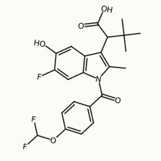 Cc1c(C(C(=O)O)C(C)(C)C)c2cc(O)c(F)cc2n1C(=O)c1ccc(OC(F)F)cc1